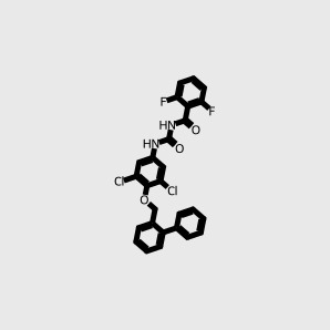 O=C(NC(=O)c1c(F)cccc1F)Nc1cc(Cl)c(OCc2ccccc2-c2ccccc2)c(Cl)c1